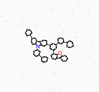 c1ccc(-c2cccc(-c3cc(-c4ccc5c6cc(-c7ccccc7)ccc6n(-c6cccc(-c7ccccc7)c6)c5c4)cc(-c4cccc5c4oc4ccccc45)c3)c2)cc1